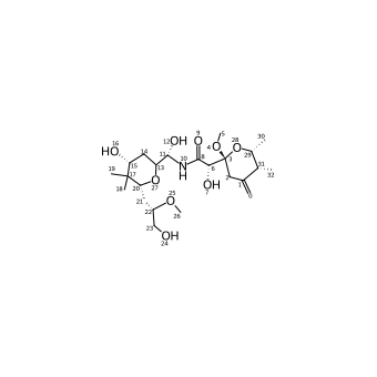 C=C1C[C@](OC)([C@H](O)C(=O)N[C@@H](O)C2C[C@@H](O)C(C)(C)[C@@H](C[C@@H](CO)OC)O2)O[C@H](C)[C@@H]1C